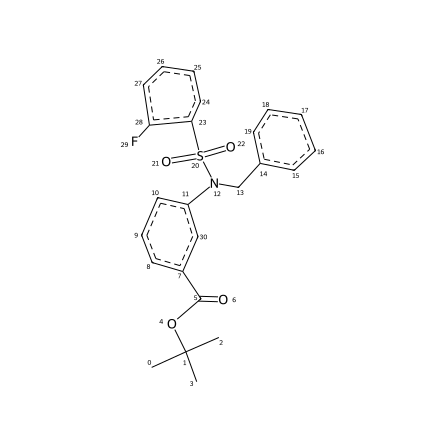 CC(C)(C)OC(=O)c1cccc(N(Cc2ccccc2)S(=O)(=O)c2ccccc2F)c1